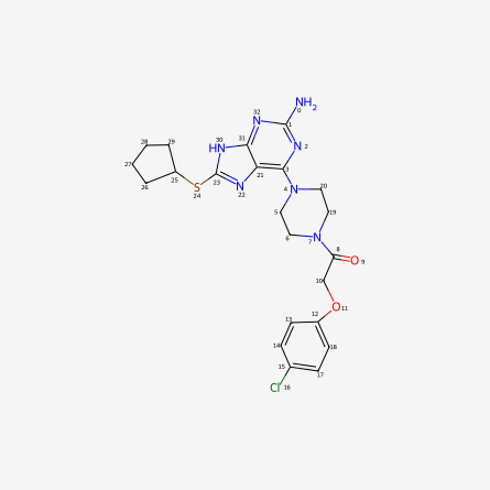 Nc1nc(N2CCN(C(=O)COc3ccc(Cl)cc3)CC2)c2nc(SC3CCCC3)[nH]c2n1